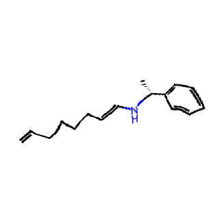 C=CCCCC/C=C/N[C@H](C)c1ccccc1